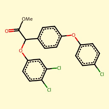 COC(=O)C(Oc1ccc(Cl)c(Cl)c1)c1ccc(Oc2ccc(Cl)cc2)cc1